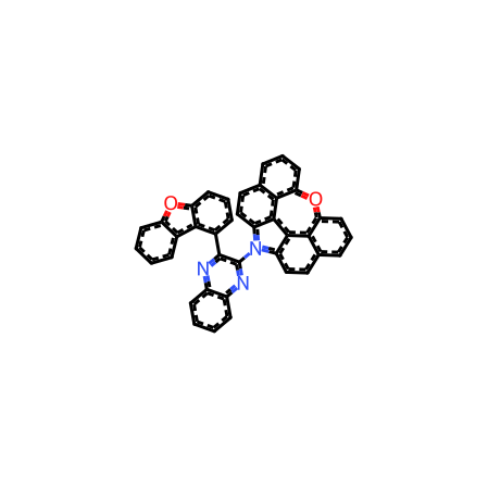 c1ccc2nc(-n3c4ccc5cccc6oc7cccc8ccc3c(c87)c4c56)c(-c3cccc4oc5ccccc5c34)nc2c1